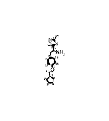 Cc1noc(C(N)Cc2ccc(OCC3CCCC3)cc2)n1